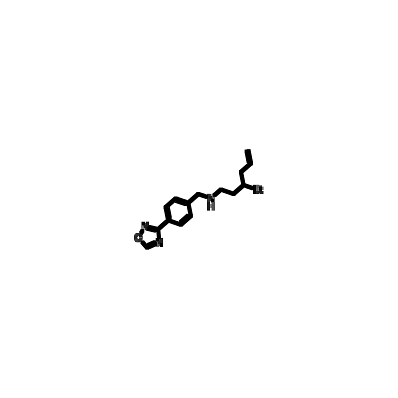 C=CCC(CC)CCNCc1ccc(-c2ncon2)cc1